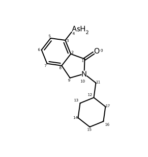 O=C1c2c([AsH2])cccc2CN1CC1CCCCC1